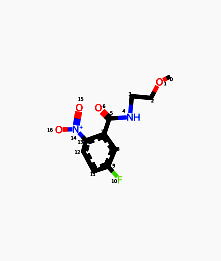 COCCNC(=O)c1cc(F)ccc1[N+](=O)[O-]